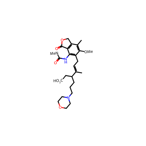 CNC(=O)Nc1c(C/C=C(\C)C(CCCN2CCOCC2)CC(=O)O)c(OC)c(C)c2c1C(=O)OC2